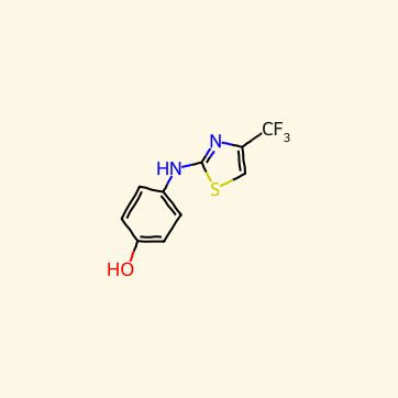 Oc1ccc(Nc2nc(C(F)(F)F)cs2)cc1